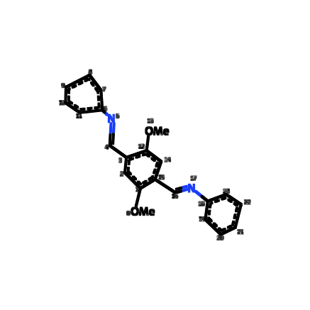 COc1cc(/C=N/c2ccccc2)c(OC)cc1/C=N/c1ccccc1